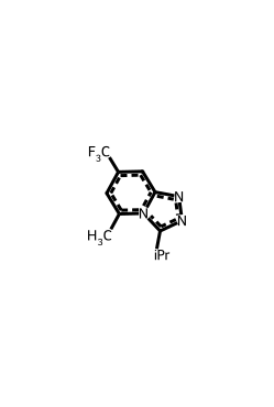 Cc1cc(C(F)(F)F)cc2nnc(C(C)C)n12